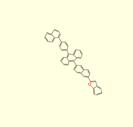 c1ccc2oc(-c3ccc4cc(-c5c6ccccc6c(-c6ccc(-c7cccc8ccccc78)cc6)c6ccccc56)ccc4c3)cc2c1